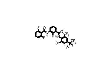 O=C(Nc1c(Br)cc(C(F)(C(F)(F)F)C(F)(F)F)cc1C(F)(F)F)c1cccc(NC(=O)c2c(F)cccc2F)c1F